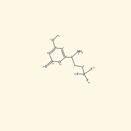 COc1cc(C(N)CCC(F)(F)F)oc(=O)c1